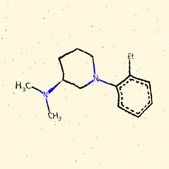 CCc1ccccc1N1CCC[C@H](N(C)C)C1